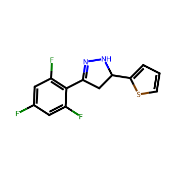 Fc1cc(F)c(C2=NNC(c3cccs3)C2)c(F)c1